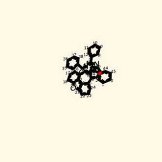 c1ccc(-c2nc(-c3ccccc3)nc(-c3cccc4oc5cccc(-c6cccc7nc(-c8ccccc8)oc67)c5c34)n2)cc1